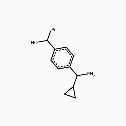 CC(C)C(O)c1ccc(C(P)C2CC2)cc1